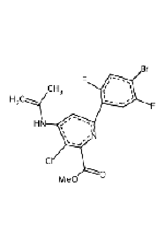 C=C(C)Nc1cc(-c2cc(F)c(Br)cc2F)nc(C(=O)OC)c1Cl